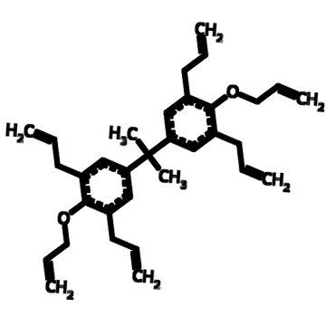 C=CCOc1c(CC=C)cc(C(C)(C)c2cc(CC=C)c(OCC=C)c(CC=C)c2)cc1CC=C